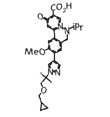 COc1cc2c(cc1-c1cnn(C(C)(C)COCC3CC3)c1)CN(C(C)C)n1cc(C(=O)O)c(=O)cc1-2